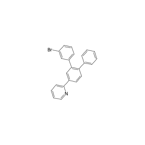 Brc1cccc(-c2cc(-c3ccccn3)ccc2-c2ccccc2)c1